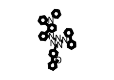 c1ccc(-n2c3ccccc3c3c4c5ccccc5n(-c5nc(-c6ccc7c(c6)oc6ccccc67)nc(-n6c7ccccc7c7ccccc76)n5)c4ccc32)cc1